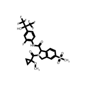 COC1(C(=O)N2Cc3cc(S(C)(=O)=O)ccc3C2C(=O)Nc2ccc(C(O)(C(F)(F)F)C(F)(F)F)cc2F)CC1